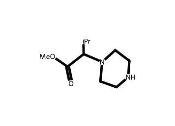 COC(=O)C(C(C)C)N1CCNCC1